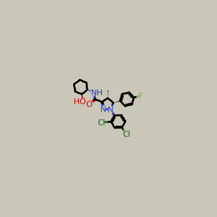 C[C@H]1C(C(=O)N[C@H]2CCCC[C@@H]2O)=NN(c2ccc(Cl)cc2Cl)[C@H]1c1ccc(F)cc1